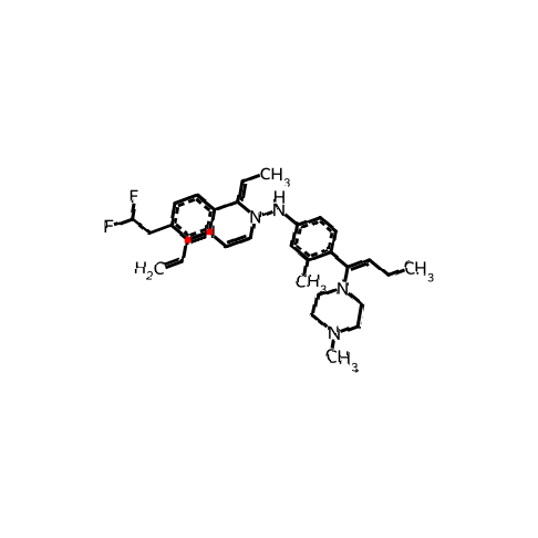 C=C/C=N\C=C/N(Nc1ccc(/C(=C/CC)N2CCN(C)CC2)c(C)c1)/C(=C\C)c1ccc(CC(F)F)cc1